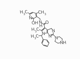 Cc1cc(C)c(CNC(=O)c2c(C)n(C(C)c3ccccc3)c3nc(N4CCNCC4)ncc23)c(O)n1